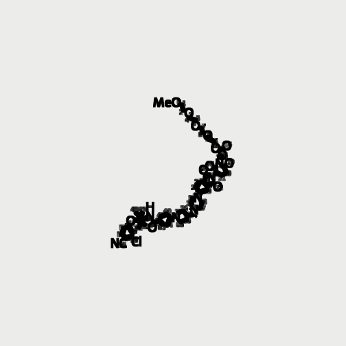 COCCOCCOCCOCCOC(=O)OCN1C(=O)CCC(N2C(=O)c3ccc(N4CCN(CC5CCN(c6ccc(C(=O)NC7C(C)(C)C(Oc8ccc(C#N)c(Cl)c8)C7(C)C)cc6)CC5)CC4)cc3C2=O)C1=O